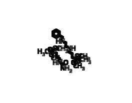 CO[Si](CCCNC(N)=O)(OC)OC.CO[Si](CCCNCCNCc1ccccc1)(OC)OC